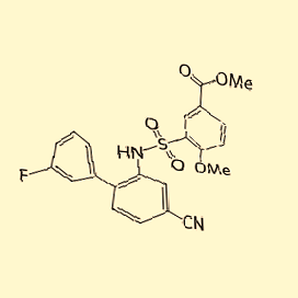 COC(=O)c1ccc(OC)c(S(=O)(=O)Nc2cc(C#N)ccc2-c2cccc(F)c2)c1